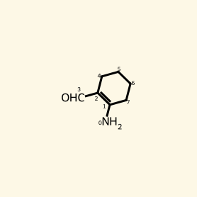 NC1=C(C=O)CCCC1